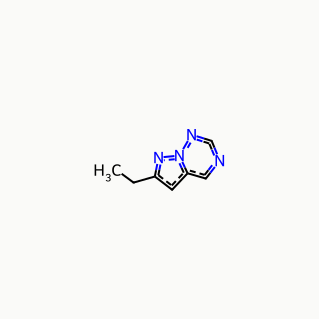 CCc1cc2cncnn2n1